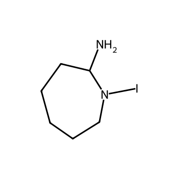 NC1CCCCCN1I